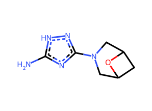 Nc1nc(N2CC3CC(C2)O3)n[nH]1